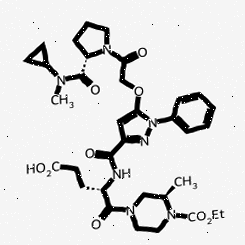 CCOC(=O)N1CCN(C(=O)[C@H](CCC(=O)O)NC(=O)c2cc(OCC(=O)N3CCC[C@H]3C(=O)N(C)C3CC3)n(-c3ccccc3)n2)C[C@H]1C